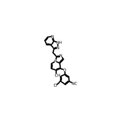 [C-]#[N+]c1cc(Cl)cc(Oc2c(C)ccn3c(Cc4n[nH]c5ncccc45)ncc23)c1